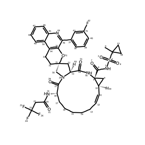 CC1(S(=O)(=O)NC(=O)[C@@]23C[C@H]2C=CCCCCC[C@H](NC(=O)CC(F)(F)F)C(=O)N2C[C@@]4(CCc5c(c(-c6cccc(F)c6)nc6ccccc56)O4)C[C@H]2C(=O)N3)CC1